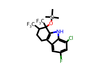 C[Si](C)(C)OC1(C(F)(F)F)c2[nH]c3c(Cl)cc(F)cc3c2CCC1C(F)(F)F